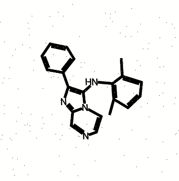 Cc1cccc(C)c1Nc1c(-c2ccccc2)nc2cnccn12